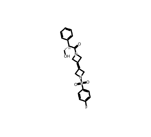 O=C([C@H](CO)c1ccccc1)N1CC(=C2CN(S(=O)(=O)c3ccc(F)cc3)C2)C1